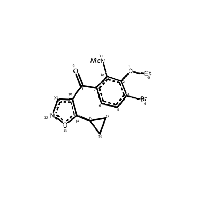 CCOc1c(Br)ccc(C(=O)c2cnoc2C2CC2)c1NC